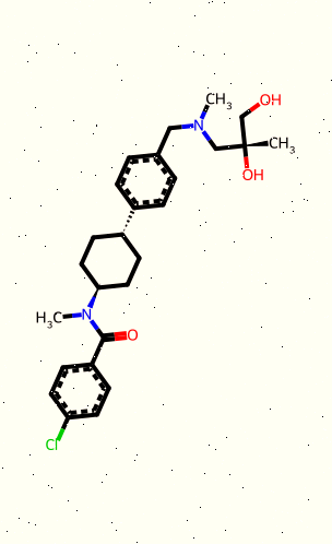 CN(Cc1ccc([C@H]2CC[C@H](N(C)C(=O)c3ccc(Cl)cc3)CC2)cc1)C[C@@](C)(O)CO